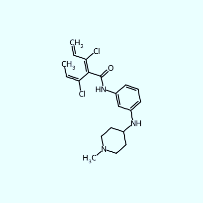 C=C/C(Cl)=C(C(=O)Nc1cccc(NC2CCN(C)CC2)c1)\C(Cl)=C/C